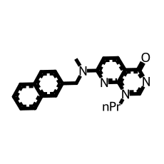 CCCn1cnc(=O)c2ccc(N(C)Cc3ccc4ccccc4c3)nc21